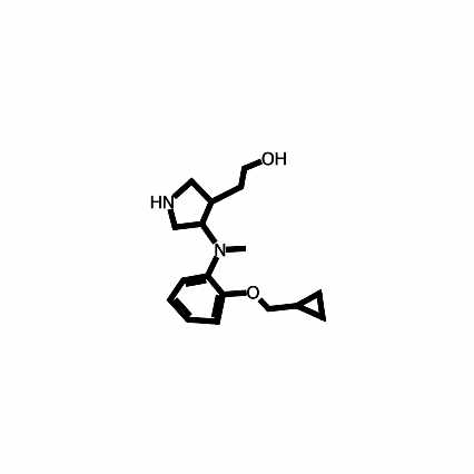 CN(c1ccccc1OCC1CC1)C1CNCC1CCO